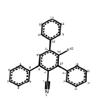 N#Cc1c(-c2ccccc2)[c]c(-c2ccccc2)c(F)c1-c1ccccc1